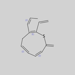 C=C/C1=C(\C=C/C)C/C=C\C=C/C(=C)S1